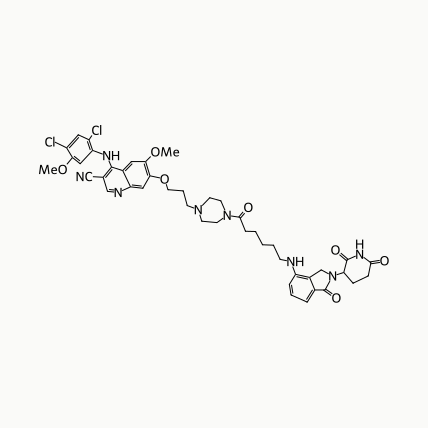 COc1cc(Nc2c(C#N)cnc3cc(OCCCN4CCN(C(=O)CCCCCNc5cccc6c5CN(C5CCC(=O)NC5=O)C6=O)CC4)c(OC)cc23)c(Cl)cc1Cl